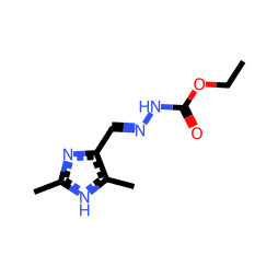 CCOC(=O)NN=Cc1nc(C)[nH]c1C